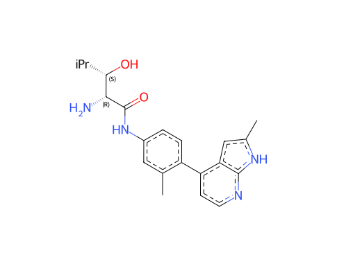 Cc1cc2c(-c3ccc(NC(=O)[C@H](N)[C@@H](O)C(C)C)cc3C)ccnc2[nH]1